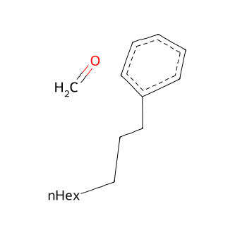 C=O.CCCCCCCCCc1ccccc1